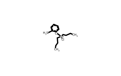 CCC[CH2][Sn]([Cl])([Cl])[CH2]CCC.[SiH3]c1ccccc1